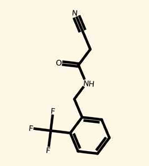 N#CCC(=O)NCc1ccccc1C(F)(F)F